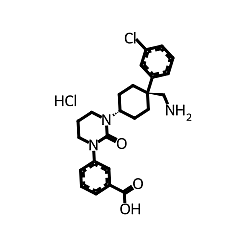 Cl.NC[C@]1(c2cccc(Cl)c2)CC[C@@H](N2CCCN(c3cccc(C(=O)O)c3)C2=O)CC1